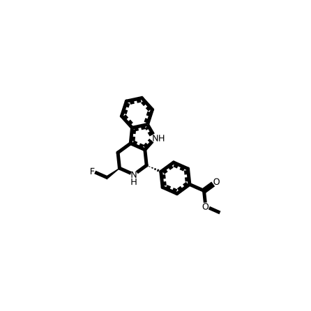 COC(=O)c1ccc([C@@H]2N[C@@H](CF)Cc3c2[nH]c2ccccc32)cc1